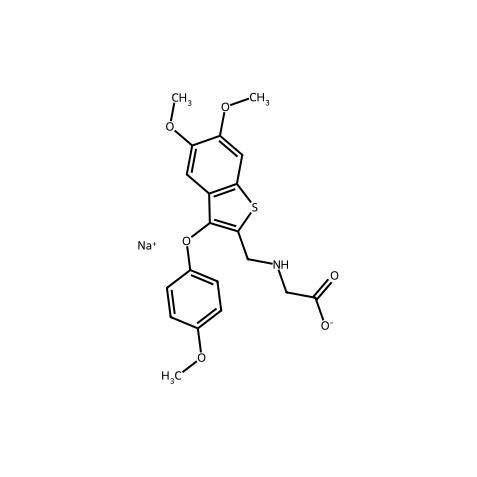 COc1ccc(Oc2c(CNCC(=O)[O-])sc3cc(OC)c(OC)cc23)cc1.[Na+]